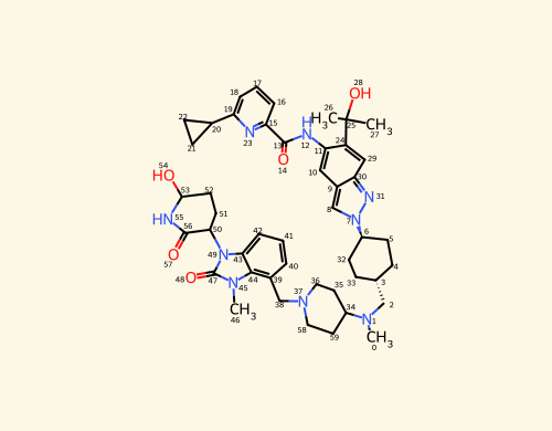 CN(C[C@H]1CC[C@H](n2cc3cc(NC(=O)c4cccc(C5CC5)n4)c(C(C)(C)O)cc3n2)CC1)C1CCN(Cc2cccc3c2n(C)c(=O)n3C2CCC(O)NC2=O)CC1